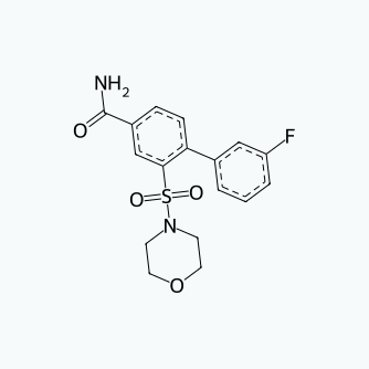 NC(=O)c1ccc(-c2cccc(F)c2)c(S(=O)(=O)N2CCOCC2)c1